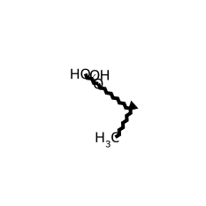 CCCCCCCCC1(CCCCCCCCCOC[C@@H](O)CO)CC1